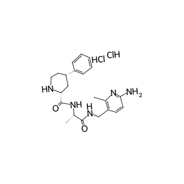 Cc1nc(N)ccc1CNC(=O)[C@H](C)NC(=O)[C@H]1C[C@@H](c2ccccc2)CCN1.Cl.Cl